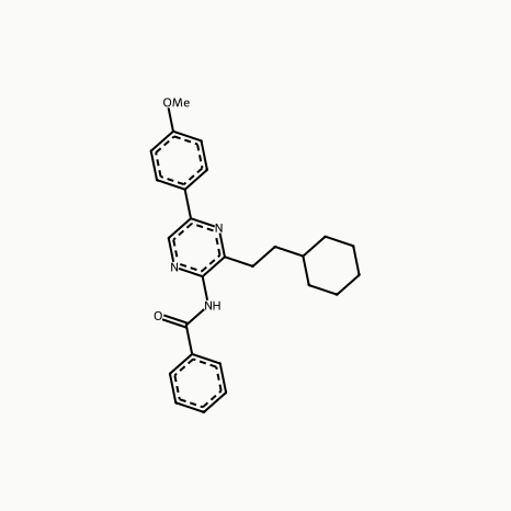 COc1ccc(-c2cnc(NC(=O)c3ccccc3)c(CCC3CCCCC3)n2)cc1